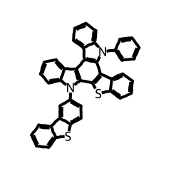 c1ccc(-n2c3ccccc3c3c4c5ccccc5n(-c5ccc6sc7ccccc7c6c5)c4c4sc5ccccc5c4c32)cc1